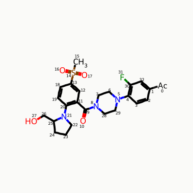 CC(=O)c1ccc(N2CCN(C(=O)c3cc(S(C)(=O)=O)ccc3N3CCCC3CO)CC2)c(F)c1